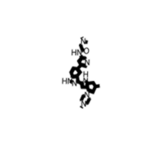 CC1C=C(N2CCN(C)CC2)c2cc(-c3n[nH]c4ccc(-c5cncc(NC(=O)CN(C)C)c5)cc34)[nH]c2C1